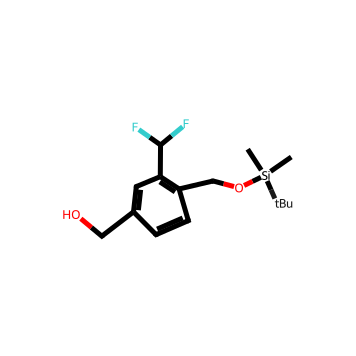 CC(C)(C)[Si](C)(C)OCc1ccc(CO)cc1C(F)F